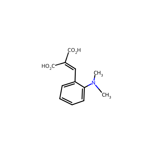 CN(C)c1ccccc1C=C(C(=O)O)C(=O)O